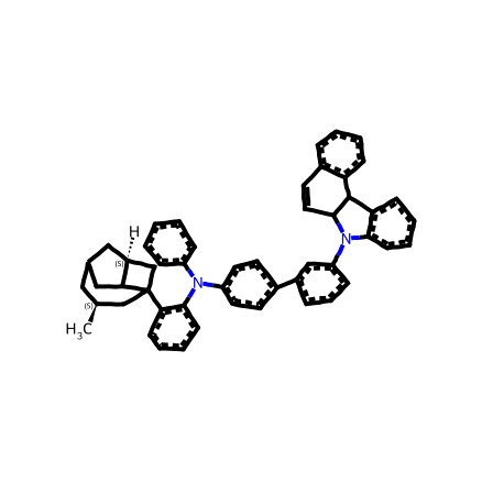 C[C@H]1CC2CC3[C@@H](C2)CC3(c2ccccc2N(c2ccccc2)c2ccc(-c3cccc(N4c5ccccc5C5c6ccccc6C=CC54)c3)cc2)C1